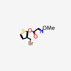 CON=CC(=O)Oc1sccc1CBr